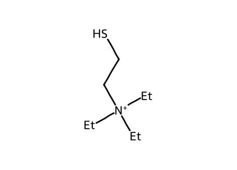 CC[N+](CC)(CC)CCS